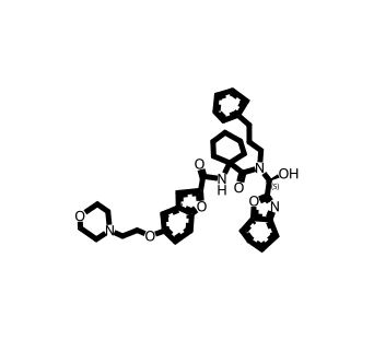 O=C(NC1(C(=O)N(CCCc2ccccc2)[C@@H](O)c2nc3ccccc3o2)CCCCC1)c1cc2cc(OCCN3CCOCC3)ccc2o1